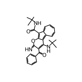 CC(C)(C)NC(=O)c1c2cccccc-2c2c(NC(C)(C)C)c(C(=O)c3ccccc3)c(=N)oc12